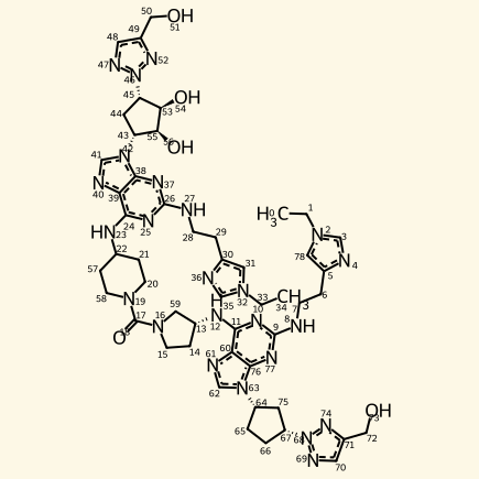 CCn1cnc(CCNc2nc(N[C@@H]3CCN(C(=O)N4CCC(Nc5nc(NCCc6cn(CC)cn6)nc6c5ncn6[C@@H]5C[C@H](n6ncc(CO)n6)[C@@H](O)[C@H]5O)CC4)C3)c3ncn([C@H]4CC[C@@H](n5ncc(CO)n5)C4)c3n2)c1